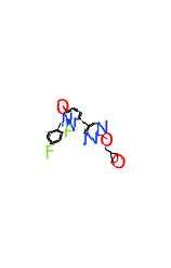 O=c1ccc(-c2cnc(OCC3COC3)nc2)nn1Cc1ccc(F)cc1F